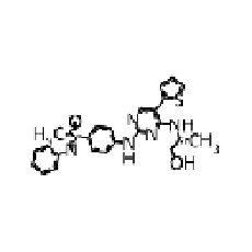 C[C@H](CO)Nc1nc(Nc2ccc(S(C)(=O)=Nc3ccccc3)cc2)ncc1-c1cccs1